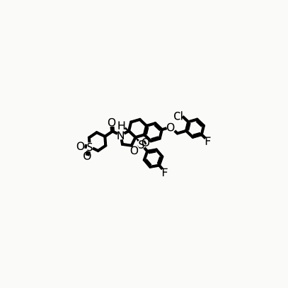 O=C(C1CCS(=O)(=O)CC1)N1CC[C@@]2(S(=O)(=O)c3ccc(F)cc3)c3ccc(OCc4cc(F)ccc4Cl)cc3CC[C@@H]12